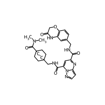 CN(C)C(=O)C12CCC(CNC(=O)c3cc(C(=O)NCc4ccc5c(c4)NC(=O)CO5)nc4ccnn34)(CC1)CC2